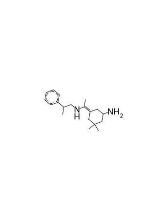 C/C(NCC(C)c1ccccc1)=C1\CC(N)CC(C)(C)C1